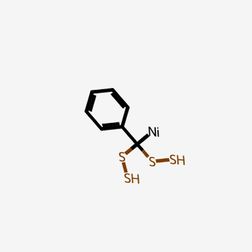 SS[C]([Ni])(SS)c1ccccc1